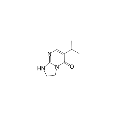 CC(C)c1cnc2n(c1=O)CCN2